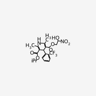 CC1=C(C(=O)OCC(O)[N+](=O)[O-])C(c2ccccc2C(F)(F)F)C(C(=O)OC(C)C)=C(C)N1